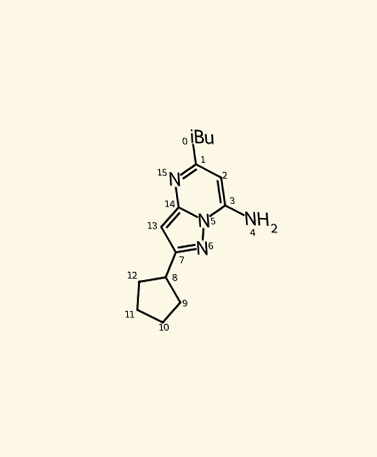 CCC(C)c1cc(N)n2nc(C3CCCC3)cc2n1